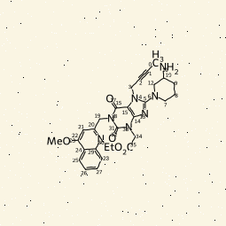 CC#CCn1c(N2CCCC(N)C2)nc2c1c(=O)n(Cc1cc(OC)c3ccccc3n1)c(=O)n2CC(=O)OCC